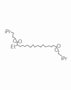 CCC(CCCCCCCCCCCCCCC(=O)OCCCC(C)C)C(=O)OCCCC(C)C